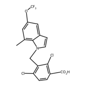 Cc1cc(OC(F)(F)F)cc2ccn(Cc3c(Cl)ccc(C(=O)O)c3Cl)c12